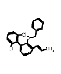 CC=Cc1cccc(-c2c(Cl)cccc2Cl)c1OCc1ccccc1